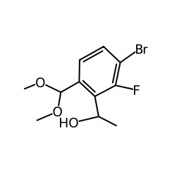 COC(OC)c1ccc(Br)c(F)c1C(C)O